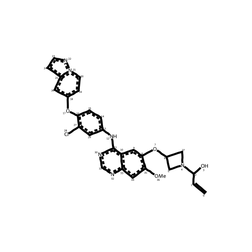 C=CC(O)N1CC(Oc2cc3c(Nc4ccc(Oc5ccn6nccc6c5)c(Cl)c4)ncnc3cc2OC)C1